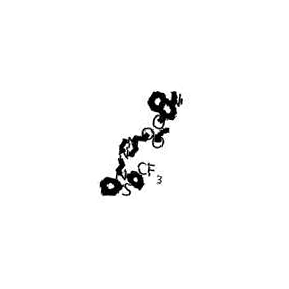 CC(Oc1ccc(N(C)C)c2ccccc12)C(=O)OCCN1CCN(CCCN2c3ccccc3Sc3ccc(C(F)(F)F)cc32)CC1